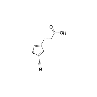 N#Cc1cc(CCC(=O)O)cs1